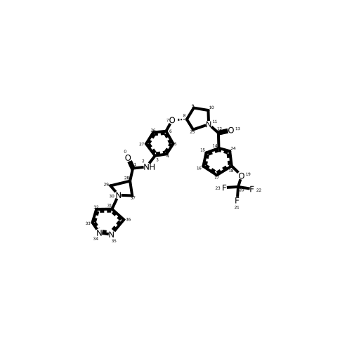 O=C(Nc1ccc(O[C@@H]2CCN(C(=O)c3cccc(OC(F)(F)F)c3)C2)cc1)C1CN(c2ccnnc2)C1